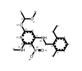 CCc1cccc(C)c1CNc1cc(OC(C)OC)nc(NC)c1[N+](=O)[O-]